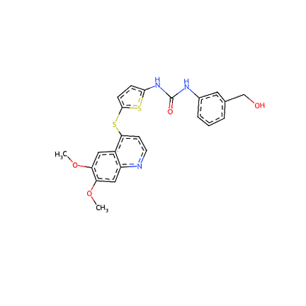 COc1cc2nccc(Sc3ccc(NC(=O)Nc4cccc(CO)c4)s3)c2cc1OC